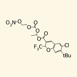 CC(OC(=O)OCCO[N+](=O)[O-])OC(=O)C1=Cc2cc(Cl)c(C(C)(C)C)cc2OC1C(F)(F)F